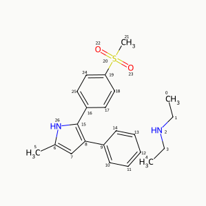 CCNCC.Cc1cc(-c2ccccc2)c(-c2ccc(S(C)(=O)=O)cc2)[nH]1